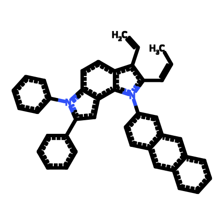 C=Cc1c(/C=C\C)n(-c2ccc3cc4ccccc4cc3c2)c2c1ccc1c2cc(-c2ccccc2)n1-c1ccccc1